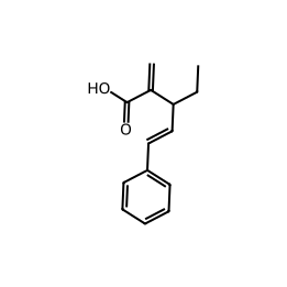 C=C(C(=O)O)C(C=Cc1ccccc1)CC